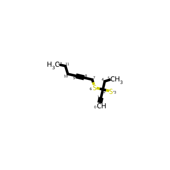 C#CC([S])(CC)SCC#CCCC